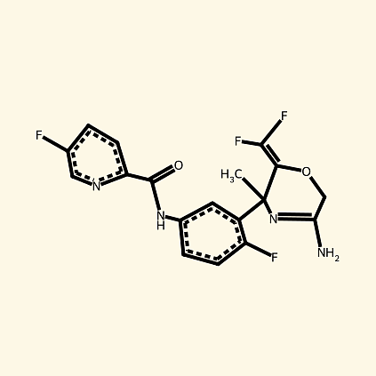 CC1(c2cc(NC(=O)c3ccc(F)cn3)ccc2F)N=C(N)COC1=C(F)F